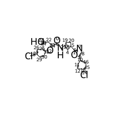 O=C(NC1CC2(c3ncc(-c4ccc(Cl)cc4)o3)CC1C2)[C@@H]1C[C@@H](O)c2cc(Cl)ccc2O1